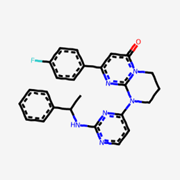 CC(Nc1nccc(N2CCCn3c2nc(-c2ccc(F)cc2)cc3=O)n1)c1ccccc1